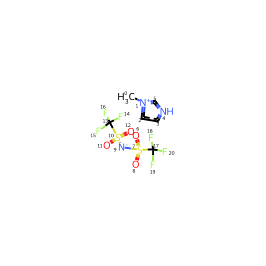 C[n+]1cc[nH]c1.O=S(=O)([N-]S(=O)(=O)C(F)(F)F)C(F)(F)F